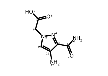 NC(=O)c1nn(CC(=O)O)cc1N